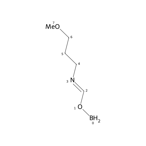 BOC=NCCCOC